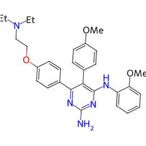 CCN(CC)CCOc1ccc(-c2nc(N)nc(Nc3ccccc3OC)c2-c2ccc(OC)cc2)cc1